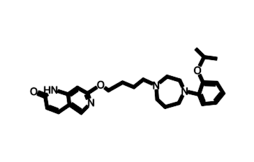 CC(C)Oc1ccccc1N1CCCN(CCCCOc2cc3[nH]c(=O)ccc3cn2)CC1